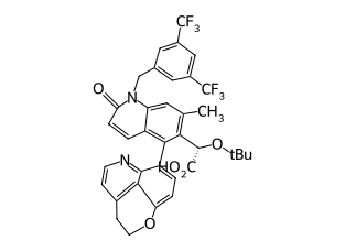 Cc1cc2c(ccc(=O)n2Cc2cc(C(F)(F)F)cc(C(F)(F)F)c2)c(-c2ccc3c4c(ccnc24)CCO3)c1[C@H](OC(C)(C)C)C(=O)O